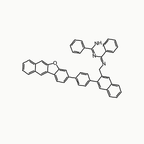 N/C(=N\C(=N/Cc1cc2ccccc2cc1-c1ccc(-c2ccc3c(c2)oc2cc4ccccc4cc23)cc1)c1ccccc1)c1ccccc1